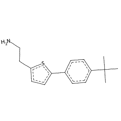 CC(C)(C)c1ccc(-c2ccc(CCN)s2)cc1